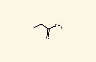 CC(=O)[CH]I